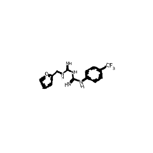 N=C(NCc1ccco1)NC(=N)Nc1ccc(C(F)(F)F)cc1